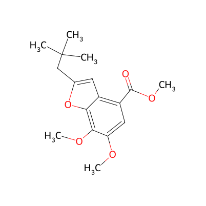 COC(=O)c1cc(OC)c(OC)c2oc(CC(C)(C)C)cc12